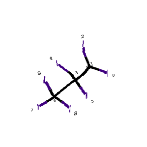 I[C](I)C(I)(I)C(I)(I)I